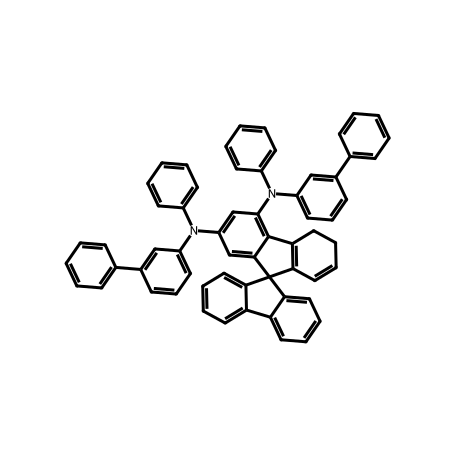 C1=CC2=C(CC1)c1c(N(c3ccccc3)c3cccc(-c4ccccc4)c3)cc(N(c3ccccc3)c3cccc(-c4ccccc4)c3)cc1C21c2ccccc2-c2ccccc21